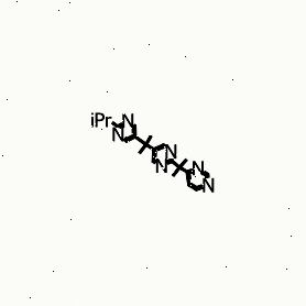 CC(C)c1ncc(C(C)(C)c2cnc(C(C)(C)c3ccncn3)nc2)cn1